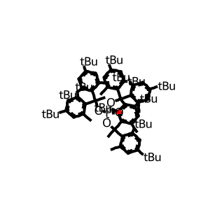 Cc1cc(C(C)(C)C)cc(C(C)(C)C)c1C(C)(OP(=O)(OC(C)(c1c(C)cc(C(C)(C)C)cc1C(C)(C)C)c1c(C)cc(C(C)(C)C)cc1C(C)(C)C)OC(C)(c1c(C)cc(C(C)(C)C)cc1C(C)(C)C)c1c(C)cc(C(C)(C)C)cc1C(C)(C)C)c1c(C)cc(C(C)(C)C)cc1C(C)(C)C